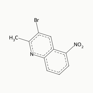 Cc1nc2cccc([N+](=O)[O-])c2cc1Br